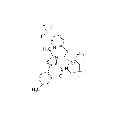 Cc1ccc(-c2sc(C)nc2C(=O)N2CC(F)(F)C[C@@H](C)[C@H]2CNc2ccc(C(F)(F)F)cn2)cc1